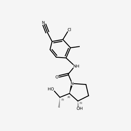 Cc1c(NC(=O)N2CC[C@H](O)[C@H]2[C@H](C)O)ccc(C#N)c1Cl